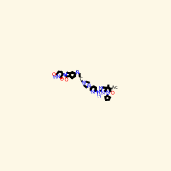 CC(=O)c1c(C)c2cnc(Nc3ccc(N4CCN(CCCCN(C)c5ccc6c(c5)CN(C5CCC(=O)NC5=O)C6=O)CC4)cn3)nc2n(C2CCCC2)c1=O